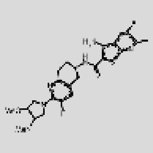 CNC1CN(c2nc3c(cc2F)CC(NC(=O)c2sc4nc(C)c(F)cc4c2N)CC3)CC1OC